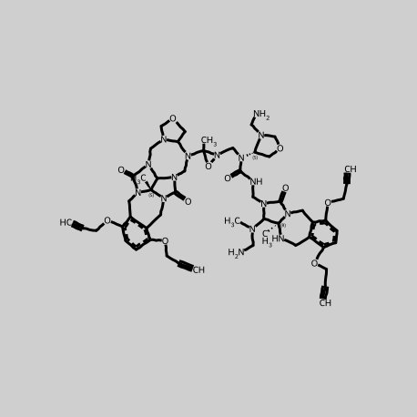 C#CCOc1ccc(OCC#C)c2c1CN[C@@]1(C)C(N(C)CN)N(CNC(=O)N(CN3OC3(C)N3CN4C(=O)N5Cc6c(OCC#C)ccc(OCC#C)c6CN6C(=O)N(CN7COCC73)C4[C@@]65C)[C@H]3COCN3CN)C(=O)N1C2